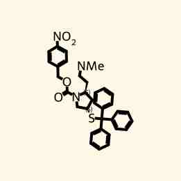 CNCC[C@H]1C[C@H](SC(c2ccccc2)(c2ccccc2)c2ccccc2)CN1C(=O)OCc1ccc([N+](=O)[O-])cc1